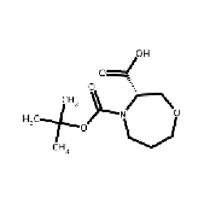 CC(C)(C)OC(=O)N1CCCOC[C@H]1C(=O)O